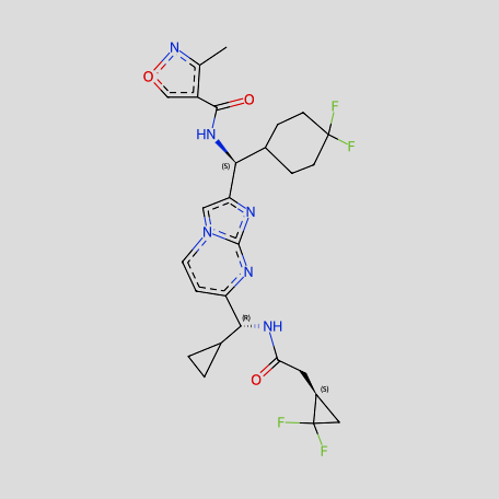 Cc1nocc1C(=O)N[C@H](c1cn2ccc([C@H](NC(=O)C[C@H]3CC3(F)F)C3CC3)nc2n1)C1CCC(F)(F)CC1